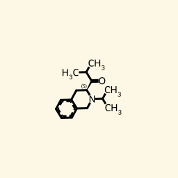 CC(C)C(=O)[C@@H]1Cc2ccccc2CN1C(C)C